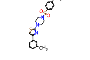 Cc1ccc(S(=O)(=O)N2CCN(c3nc(-c4cccc(C)c4)cs3)CC2)cc1